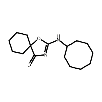 O=C1N=C(NC2CCCCCCC2)OC12CCCCC2